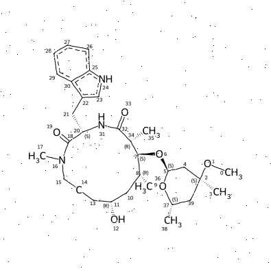 CO[C@]1(C)C[C@H](O[C@H]2[C@H](C)C[C@H](O)CCCN(C)C(=O)[C@H](Cc3c[nH]c4ccccc34)NC(=O)[C@@H]2C)O[C@@H](C)C1